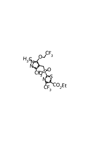 CCOC(=O)c1sc(S(=O)(=O)Cc2c(C(F)(F)F)nn(C)c2OCC(F)(F)F)nc1C(F)(F)F